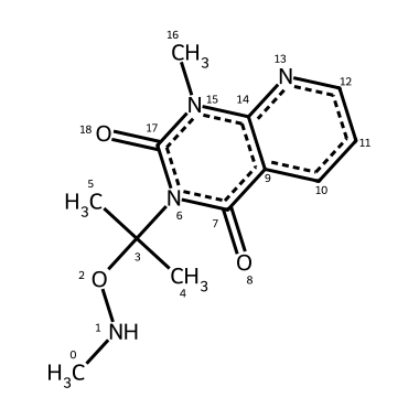 CNOC(C)(C)n1c(=O)c2cccnc2n(C)c1=O